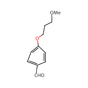 COCCCOc1ccc(C=O)cc1